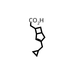 O=C(O)CC1CC2CC(CC3CC3)=CC12